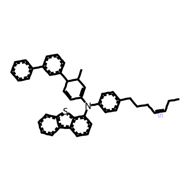 CC/C=C\CCCc1ccc(N(C2=CC(C)C(c3cccc(-c4ccccc4)c3)C=C2)c2cccc3c2sc2ccccc23)cc1